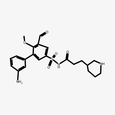 COc1c(C=O)cc(S(=O)(=O)NC(=O)CCC2CCCNC2)cc1-c1cccc(N)c1